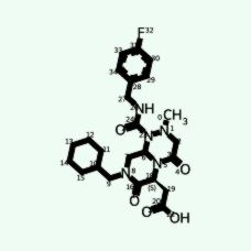 CN1CC(=O)N2C(CN(CC3CCCCC3)C(=O)[C@@H]2CC(=O)O)N1C(=O)NCc1ccc(F)cc1